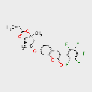 C=CC(=O)OC(C)(C)CB(C)Oc1ccc2cc(-c3c(F)c(F)c(F)c(F)c3F)c(=O)oc2c1